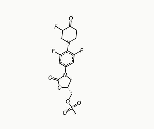 CS(=O)(=O)OC[C@H]1CN(c2cc(F)c(N3CCC(=O)C(F)C3)c(F)c2)C(=O)O1